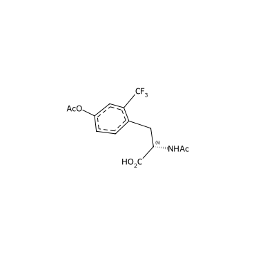 CC(=O)N[C@@H](Cc1ccc(OC(C)=O)cc1C(F)(F)F)C(=O)O